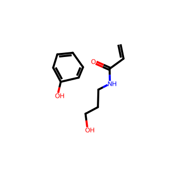 C=CC(=O)NCCCO.Oc1ccccc1